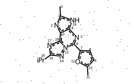 Cc1nc2c(nc(-c3ccc(C)o3)n3nc(C(C)C)nc23)[nH]1